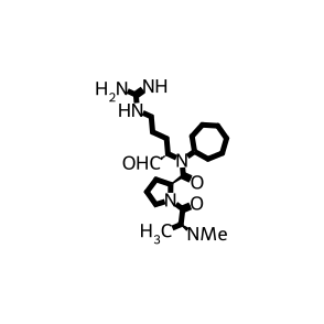 CN[C@@H](C)C(=O)N1CCC[C@H]1C(=O)N(C1CCCCCC1)[C@H](C=O)CCCNC(=N)N